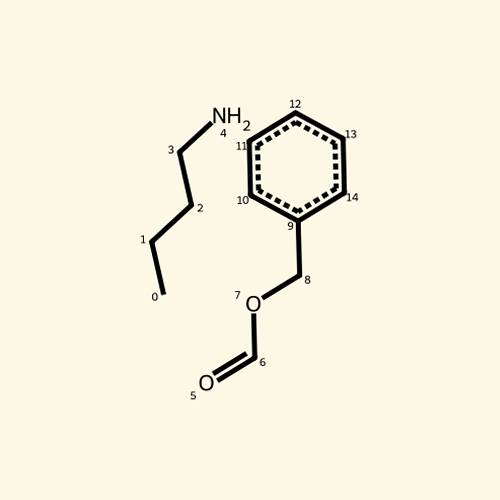 CCCCN.O=COCc1ccccc1